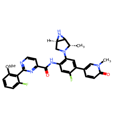 COc1cccc(F)c1-c1nccc(C(=O)Nc2cc(F)c(-c3ccc(=O)n(C)c3)cc2N2C[C@H]3NC3[C@@H]2C)n1